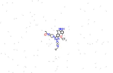 C=CC(=O)N1CC2(CCN(c3nc(N4CC5(CN(CC6CC6)C5)C4)nc4c(OCC(F)(F)F)c(-c5c(C)ccc6[nH]ncc56)c(C5CC5)cc34)CC2)C1